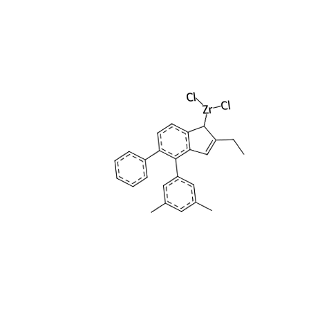 CCC1=Cc2c(ccc(-c3ccccc3)c2-c2cc(C)cc(C)c2)[CH]1[Zr]([Cl])[Cl]